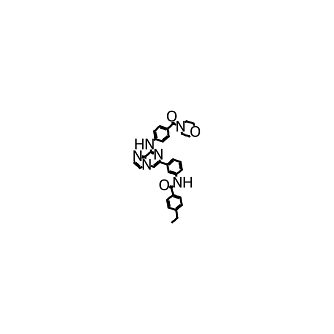 CCc1ccc(C(=O)Nc2cccc(-c3cn4ccnc4c(Nc4ccc(C(=O)N5CCOCC5)cc4)n3)c2)cc1